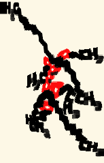 CCCCCCCCCCCCC(OCCCC)=C(OCCCC)C(CCCCCCCC)OCOCOC(CCCCCCCC)C(OCCCC)=C(CCCCCCCCCCCC)OCCCC